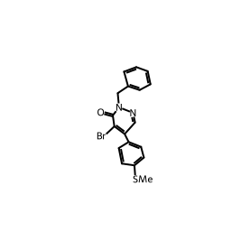 CSc1ccc(-c2cnn(Cc3ccccc3)c(=O)c2Br)cc1